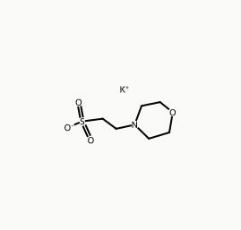 O=S(=O)([O-])CCN1CCOCC1.[K+]